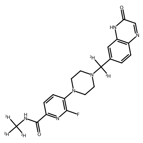 [2H]C([2H])([2H])NC(=O)c1ccc(N2CCN(C([2H])([2H])c3ccc4ncc(=O)[nH]c4c3)CC2)c(F)n1